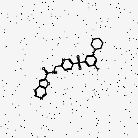 O=C(NCc1ccc(S(=O)(=O)c2cc(F)cc(N3CCCCC3)c2)cn1)c1cc2ccncc2o1